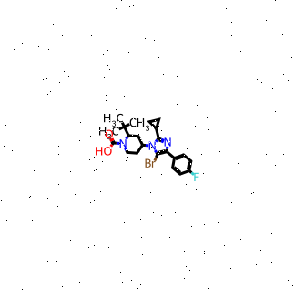 CC(C)(C)C1CC(n2c(C3CC3)nc(-c3ccc(F)cc3)c2Br)CCN1C(=O)O